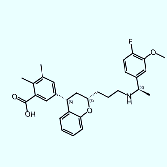 COc1cc([C@@H](C)NCCC[C@H]2C[C@@H](c3cc(C)c(C)c(C(=O)O)c3)c3ccccc3O2)ccc1F